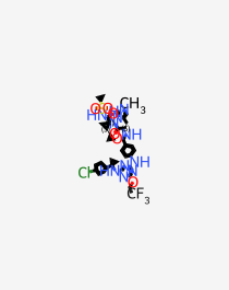 Cn1cnc(C[C@H](NC(=O)c2ccc(Nc3nc(NC4(c5ccc(Cl)cc5)CC4)nc(OCC(F)(F)F)n3)cc2)C(=O)N[C@]2(C(=O)NS(=O)(=O)C3CC3)C[C@H]2C2CC2)c1